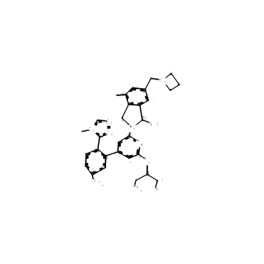 Cn1cnnc1-c1ccc(C#N)cc1-c1cc(NC(CO)CC#N)nc(N2Cc3c(cc(CN4CCC4)cc3C(F)(F)F)C2O)c1